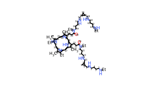 CCNCCCCNCC1CC1CNCCCCN(CC)C(=O)CCc1c(C)c2cc3nc(cc4[nH]c(cc5nc(cc1[nH]2)C(CCC(=O)N(CC)CCCCNC[C@@H]1C[C@H]1CNCCCCNCC)=C5C)c(C)c4CC)C(C)C3CC